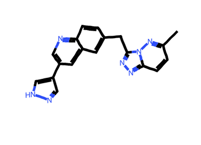 Cc1ccc2nnc(Cc3ccc4ncc(-c5cn[nH]c5)cc4c3)n2n1